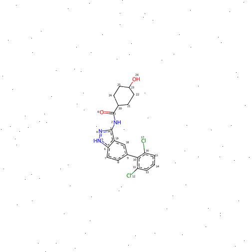 O=C(Nc1n[nH]c2ccc(-c3c(Cl)cccc3Cl)cc12)C1CCC(O)CC1